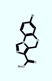 COC(=O)c1ncn2c1COc1cc(Br)ccc1-2